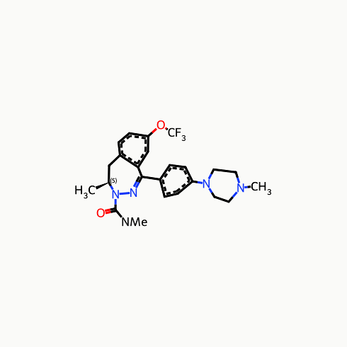 CNC(=O)N1N=C(c2ccc(N3CCN(C)CC3)cc2)c2cc(OC(F)(F)F)ccc2C[C@@H]1C